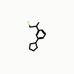 C[C](CF)c1cccc(C2CCCC2)c1